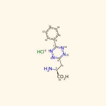 Cl.N[C@@H](Cc1nnc(-c2ccccc2)nn1)C(=O)O